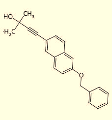 [CH2]C(C)(O)C#Cc1ccc2cc(OCc3ccccc3)ccc2c1